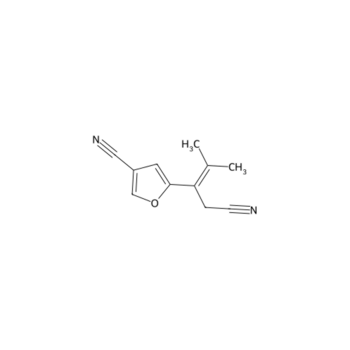 CC(C)=C(CC#N)c1cc(C#N)co1